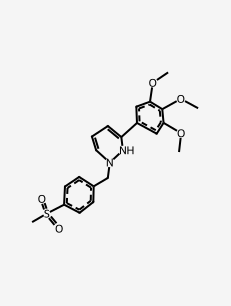 COc1cc(C2=CC=CN(Cc3ccc(S(C)(=O)=O)cc3)N2)cc(OC)c1OC